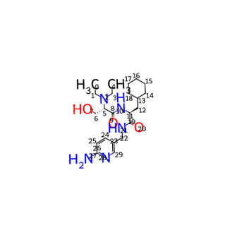 CCN(CC)[C@@H](CO)C(=O)N[C@@H](CC1CCCCC1)C(=O)NCc1ccc(N)nc1